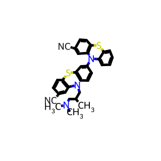 CC(CN(C)C)CN1c2ccc(N3c4ccccc4Sc4ccc(C#N)cc43)cc2Sc2ccc(C#N)cc21